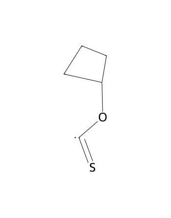 S=[C]OC1CCC1